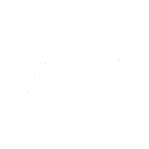 CCCCCCC(COCCOCCOCCN)N=[N+]=[N-]